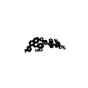 Cl.Cn1cnc(S(=O)(=O)NCCOc2ccc3c(c2)C(Cc2ccccc2)C(N2CCC(F)C2)CC3)c1